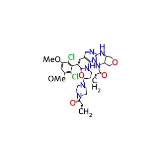 C=CC(=O)NC1COCC1Nc1ncc2cc(-c3c(Cl)c(OC)cc(OC)c3Cl)c(=O)n(CCCN3CCN(C(=O)C=C)CC3)c2n1